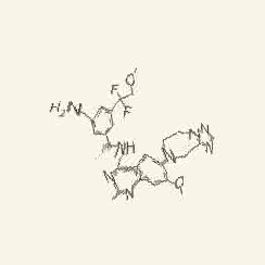 COCC(F)(F)c1cc(N)cc([C@@H](C)Nc2nc(C)nc3cc(OC)c(N4CCn5ncnc5C4)cc23)c1